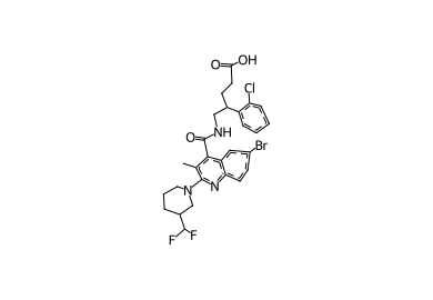 Cc1c(N2CCCC(C(F)F)C2)nc2ccc(Br)cc2c1C(=O)NCC(CCC(=O)O)c1ccccc1Cl